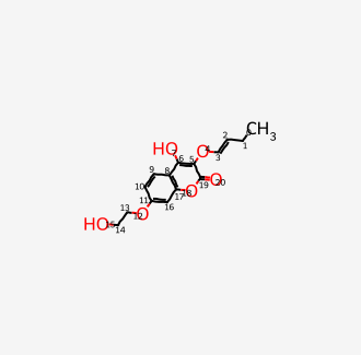 CCC=COc1c(O)c2ccc(OCCO)cc2oc1=O